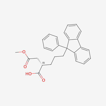 COC(=O)C[C@H](CCCC1(c2ccccc2)c2ccccc2-c2ccccc21)C(=O)O